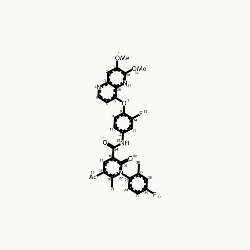 COc1cc2nccc(Oc3ccc(NC(=O)c4cc(C(C)=O)c(C)n(-c5ccc(F)cc5C)c4=O)cc3F)c2nc1OC